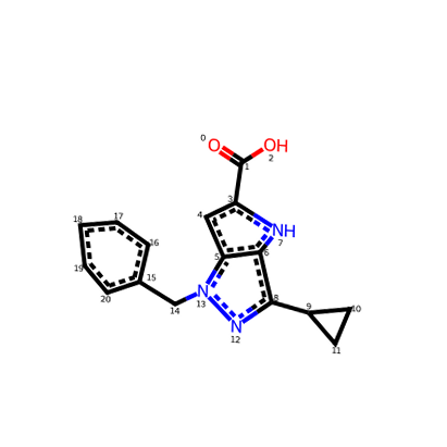 O=C(O)c1cc2c([nH]1)c(C1CC1)nn2Cc1ccccc1